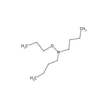 CCCCN(CCCC)OCCC